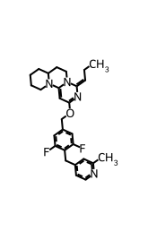 CC/C=C1/N=C(OCc2cc(F)c(Cc3ccnc(C)c3)c(F)c2)C=C2N1CCC1CCCCN21